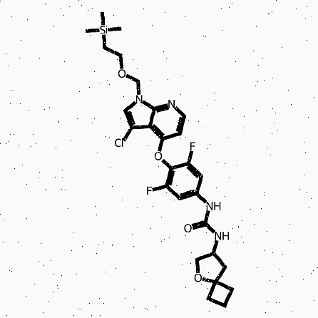 C[Si](C)(C)CCOCn1cc(Cl)c2c(Oc3c(F)cc(NC(=O)NC4COC5(CCC5)C4)cc3F)ccnc21